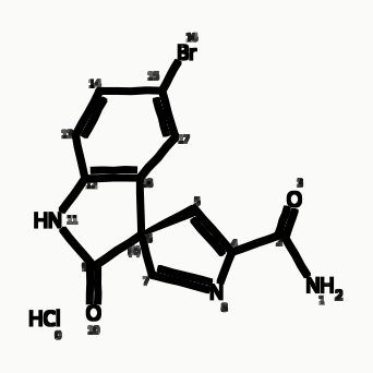 Cl.NC(=O)C1=C[C@@]2(C=N1)C(=O)Nc1ccc(Br)cc12